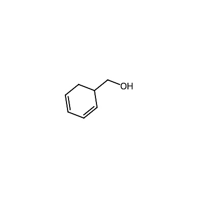 OCC1C=CC=CC1